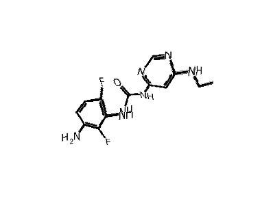 CCNc1cc(NC(=O)Nc2c(F)ccc(N)c2F)ncn1